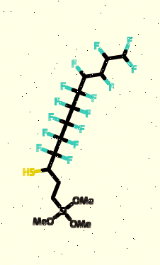 CO[Si](CCC(S)C(F)(F)C(F)(F)C(F)(F)C(F)(F)C(F)(F)C(F)C(F)C(F)C(F)F)(OC)OC